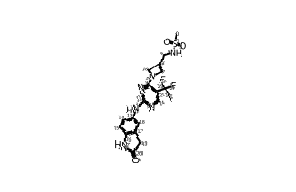 CS(=O)(=O)NCC1CN(c2nc(Nc3ccc4c(c3)CC(=O)N4)ncc2C(F)(F)F)C1